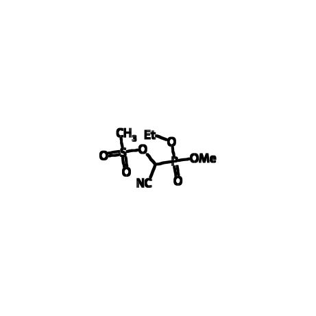 CCOP(=O)(OC)C(C#N)OS(C)(=O)=O